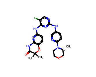 C[C@@H]1COCCN1c1ccc(Nc2ncc(F)c(Nc3ccc4c(n3)NC(=O)C(C)(C)O4)n2)cn1